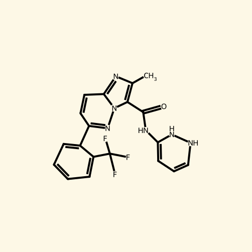 Cc1nc2ccc(-c3ccccc3C(F)(F)F)nn2c1C(=O)NC1=CC=CNN1